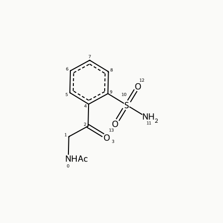 CC(=O)NCC(=O)c1ccccc1S(N)(=O)=O